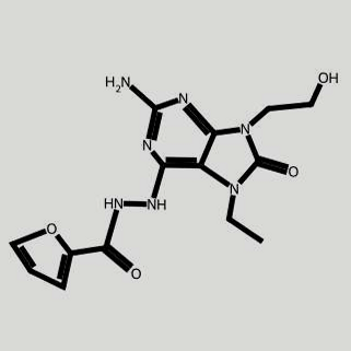 CCn1c(=O)n(CCO)c2nc(N)nc(NNC(=O)c3ccco3)c21